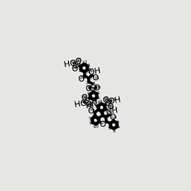 O=C(c1ccccc1)c1c2c3c(c(Nc4ccc(S(=O)(=O)CCC(C(=O)O)C(=O)c5cccc(S(=O)(=O)O)c5)cc4S(=O)(=O)O)cc(S(=O)(=O)O)c3[nH]c1=O)C(=O)c1ccccc1-2